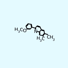 CCc1cc2ccc(-c3cccc(OC)c3)nc2cc1C